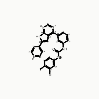 Cc1ccc(NC(=O)Nc2cccc(-c3ncnc4sc(-c5ccncc5)cc34)c2)cc1C